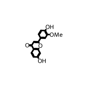 COc1cc(-c2cc(=O)c3ccc(O)cc3o2)ccc1O